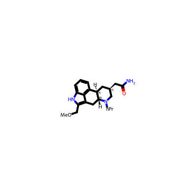 CCCN1C[C@H](CC(N)=O)C[C@@H]2c3cccc4[nH]c(COC)c(c34)C[C@H]21